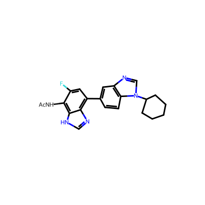 CC(=O)Nc1c(F)cc(-c2ccc3c(c2)ncn3C2CCCCC2)c2nc[nH]c12